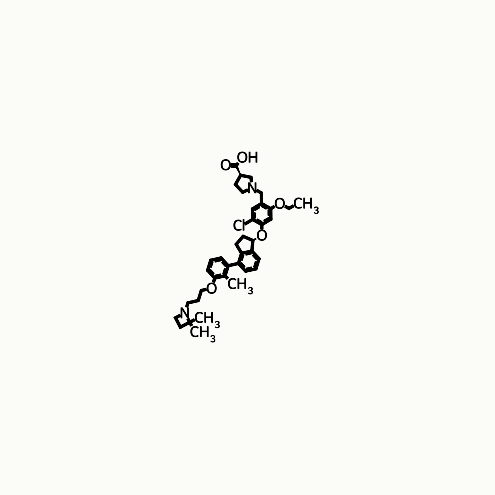 CCOc1cc(O[C@H]2CCc3c(-c4cccc(OCCCN5CCC5(C)C)c4C)cccc32)c(Cl)cc1CN1CC[C@@H](C(=O)O)C1